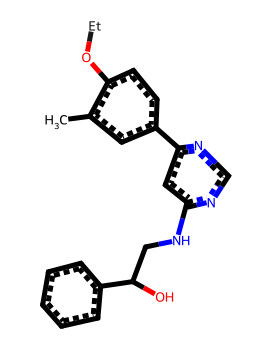 CCOc1ccc(-c2cc(NCC(O)c3ccccc3)ncn2)cc1C